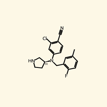 Cc1ccc(F)c(CN(c2ccc(C#N)c(Cl)c2)[C@H]2CCNC2)c1